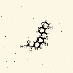 Cc1c(-c2cc3cc(NC(=O)O)ncc3c(Cl)c2F)cnc2c1NCCO2